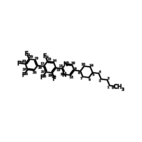 CCCCCC1CCC(c2cnc(-c3cc(F)c(-c4cc(F)c(F)c(F)c4)c(F)c3F)nc2)CC1